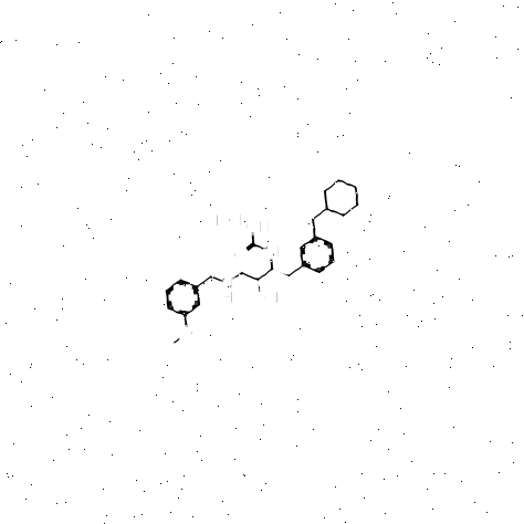 COc1cccc(CNC[C@H](O)[C@H](Cc2cccc(CC3CCCCC3)c2)NC(=O)O)c1.Cl